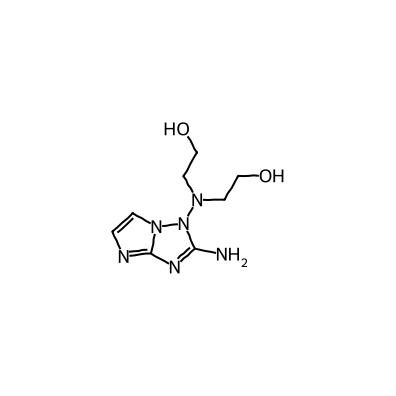 Nc1nc2nccn2n1N(CCO)CCO